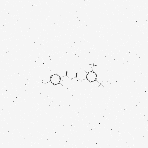 O=C(NC(=O)c1ccc(Cl)cc1Cl)Nc1cc(C(F)(F)F)cc(C(F)(F)F)c1Br